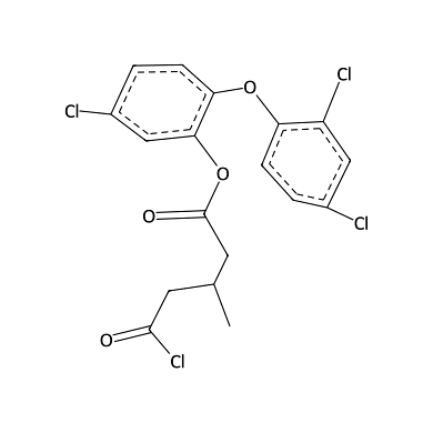 CC(CC(=O)Cl)CC(=O)Oc1cc(Cl)ccc1Oc1ccc(Cl)cc1Cl